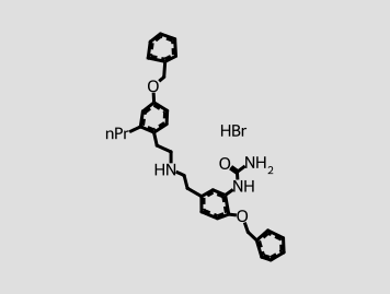 Br.CCCc1cc(OCc2ccccc2)ccc1CCNCCc1ccc(OCc2ccccc2)c(NC(N)=O)c1